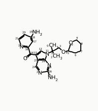 CC(C)(COC1CCCCO1)n1cc(C(=O)c2cc(N)ccn2)c2cnc(N)nc21